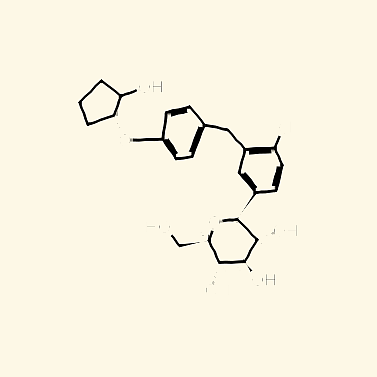 OC[C@H]1O[C@@H](c2ccc(Cl)c(Cc3ccc(O[C@@H]4CCCC4O)cc3)c2)[C@H](O)[C@@H](O)[C@@H]1O